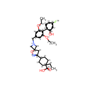 CCOc1cc(CN2CC3(CC(C4CCC(CC)(C(=O)O)CC4)=NO3)C2)cc(OCC)c1-c1ccc(F)cc1O